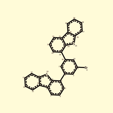 Brc1cc(-c2cccc3c2sc2ccccc23)cc(-c2cccc3c2sc2ccccc23)c1